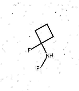 CC(C)NC1(F)CCC1